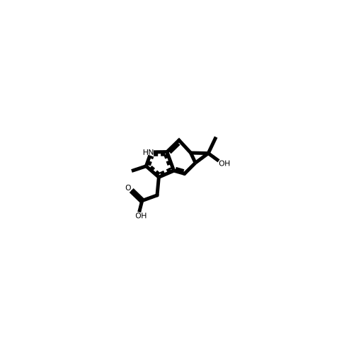 Cc1[nH]c2c(c1CC(=O)O)=CC1C(C=2)C1(C)O